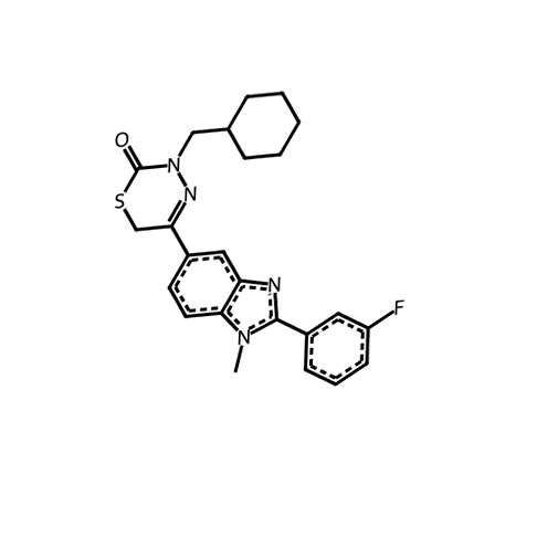 Cn1c(-c2cccc(F)c2)nc2cc(C3=NN(CC4CCCCC4)C(=O)SC3)ccc21